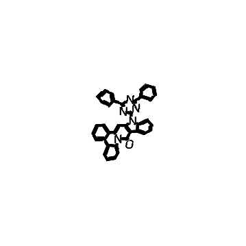 O=c1c2c3ccccc3n(-c3nc(-c4ccccc4)nc(-c4ccccc4)n3)c2cc2c3ccccc3c3ccccc3n12